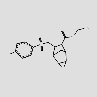 N#CCNC(=O)C1C(CS(=O)(=O)c2ccc(F)cc2)C2CC1C1OC21